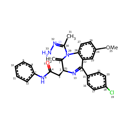 C=C1[C@H](CC(=O)Nc2ccccc2)N=C(c2ccc(Cl)cc2)c2cc(OC)ccc2N1/C(C)=N\N